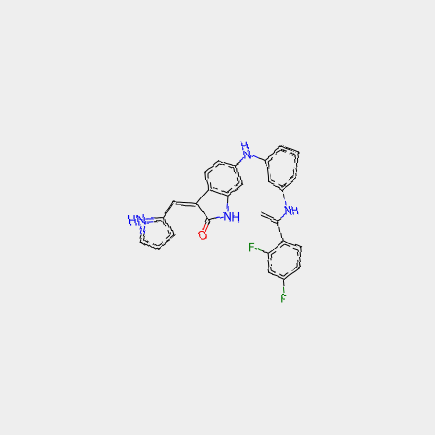 C=C(Nc1cccc(Nc2ccc3c(c2)NC(=O)/C3=C\c2ccc[nH]2)c1)c1ccc(F)cc1F